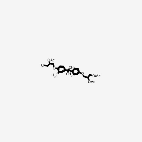 COCC(COc1ccc(C(C)(C)c2ccc(OCC(CCl)OC(C)=O)c(C)c2)cc1)OC(C)=O